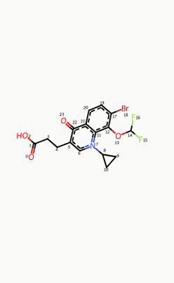 O=C(O)CCc1cn(C2CC2)c2c(OC(F)F)c(Br)ccc2c1=O